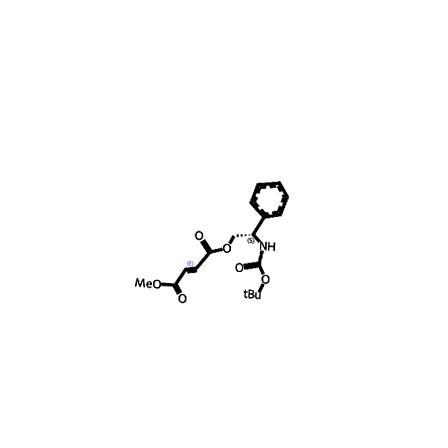 COC(=O)/C=C/C(=O)OC[C@@H](NC(=O)OC(C)(C)C)c1ccccc1